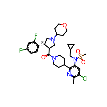 Cc1nc(C2CCN(C(=O)C3CN(C4CCOCC4)C[C@H]3c3ccc(F)cc3F)CC2)c(N(CC2CC2)S(C)(=O)=O)cc1Cl